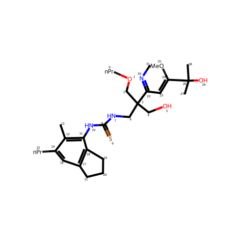 CCCOCC(CO)(CNC(=S)Nc1c(C)c(CCC)cc2c1CCC2)C(/C=C(\OC)C(C)(C)O)=N/C